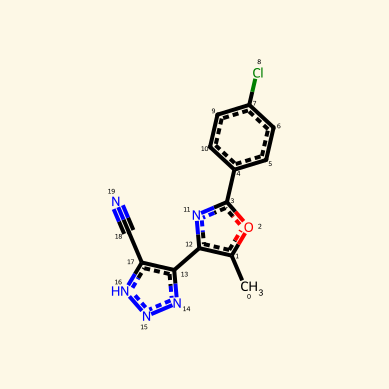 Cc1oc(-c2ccc(Cl)cc2)nc1-c1nn[nH]c1C#N